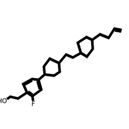 C=CCCC1CCC(CCC2CCC(c3ccc(CCO)c(F)c3)CC2)CC1